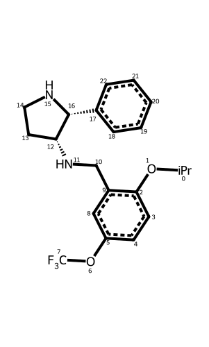 CC(C)Oc1ccc(OC(F)(F)F)cc1CN[C@@H]1CCN[C@@H]1c1ccccc1